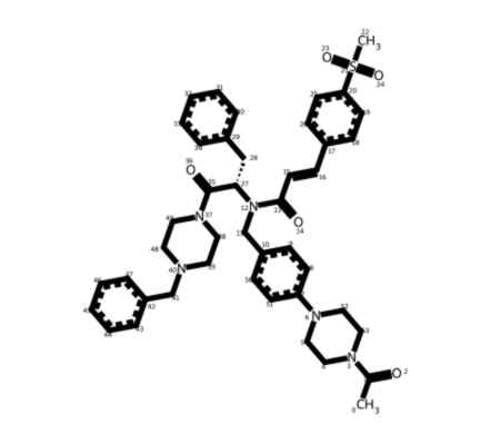 CC(=O)N1CCN(c2ccc(CN(C(=O)C=Cc3ccc(S(C)(=O)=O)cc3)[C@@H](Cc3ccccc3)C(=O)N3CCN(Cc4ccccc4)CC3)cc2)CC1